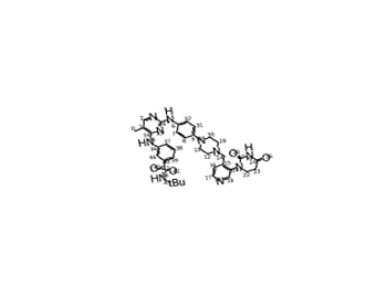 Cc1cnc(Nc2ccc(N3CCN(Cc4ccncc4N4CCC(=O)NC4=O)CC3)cc2)nc1Nc1cccc(S(=O)(=O)NC(C)(C)C)c1